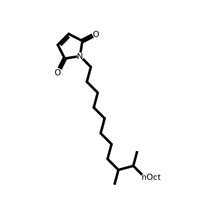 CCCCCCCCC(C)C(C)CCCCCCCCN1C(=O)C=CC1=O